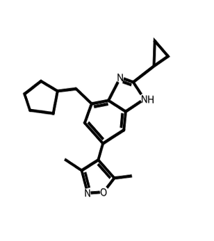 Cc1noc(C)c1-c1cc(CC2CCCC2)c2nc(C3CC3)[nH]c2c1